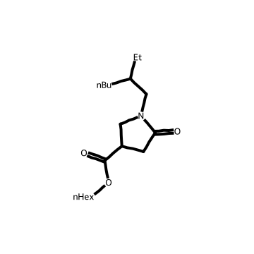 CCCCCCOC(=O)C1CC(=O)N(CC(CC)CCCC)C1